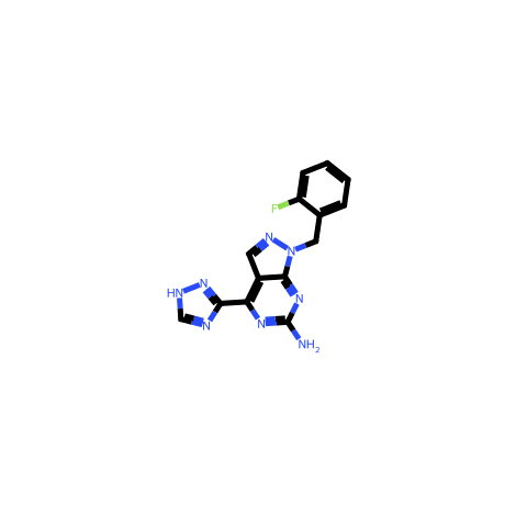 Nc1nc(-c2nc[nH]n2)c2cnn(Cc3ccccc3F)c2n1